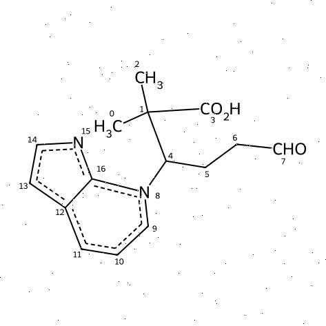 CC(C)(C(=O)O)C(CCC=O)n1cccc2ccnc1-2